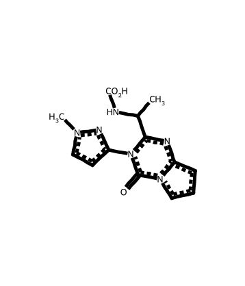 CC(NC(=O)O)c1nc2cccn2c(=O)n1-c1ccn(C)n1